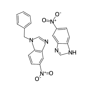 O=[N+]([O-])c1ccc2[nH]cnc2c1.O=[N+]([O-])c1ccc2c(c1)ncn2Cc1ccccc1